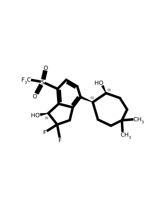 CC1(C)CC[C@H](O)[C@H](c2ccc(S(=O)(=O)C(F)(F)F)c3c2CC(F)(F)[C@H]3O)CC1